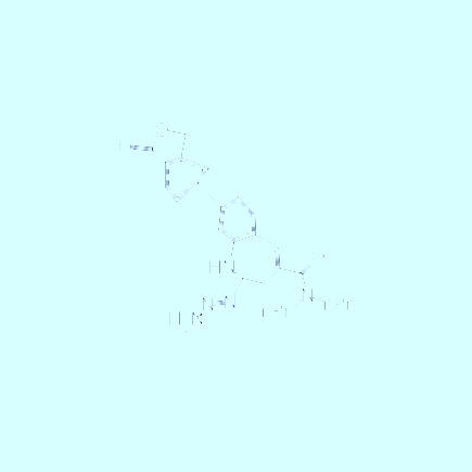 CCCN(CCC)C(=O)C1=Cc2ccc(-c3ccc4c(c3)COC4=O)cc2NC(N=NN)C1